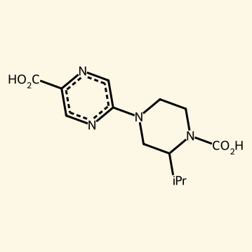 CC(C)C1CN(c2cnc(C(=O)O)cn2)CCN1C(=O)O